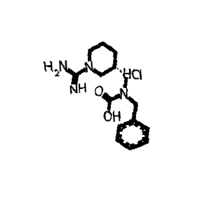 Cl.N=C(N)N1CCC[C@H](CN(Cc2ccccc2)C(=O)O)C1